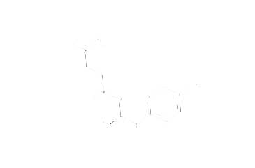 N=C(CCC(=O)N[C@@H](Cc1ccc(O)cc1)C(=O)O)C(=O)O